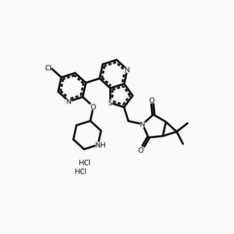 CC1(C)C2C(=O)N(Cc3cc4nccc(-c5cc(Cl)cnc5OC5CCCNC5)c4s3)C(=O)C21.Cl.Cl